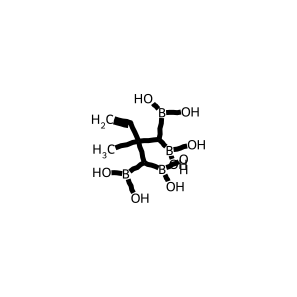 C=CC(C)(C(B(O)O)B(O)O)C(B(O)O)B(O)O